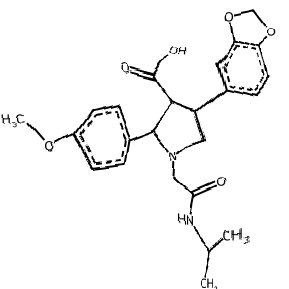 COc1ccc(C2C(C(=O)O)C(c3ccc4c(c3)OCO4)CN2CC(=O)NC(C)C)cc1